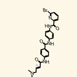 CN(C)C/C=C/C(=O)Nc1ccc(C(=O)Nc2ccc(NC(=O)c3cccc(Br)n3)cc2)cc1